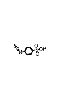 O=S(=O)(O)c1ccc(N=C=S)cc1